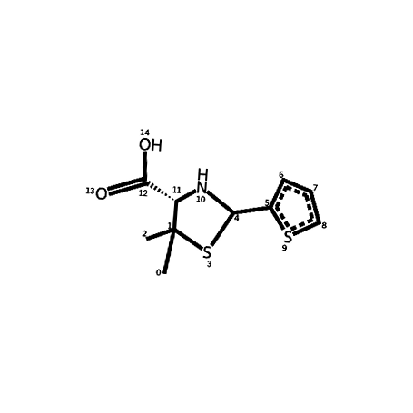 CC1(C)SC(c2cccs2)N[C@H]1C(=O)O